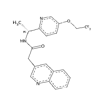 C[C@@H](NC(=O)Cc1cnc2ccccc2c1)c1ccc(OCC(F)(F)F)cn1